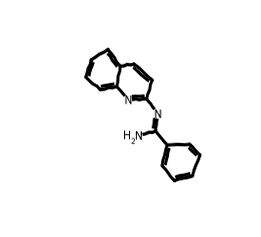 NC(=Nc1ccc2ccccc2n1)c1ccccc1